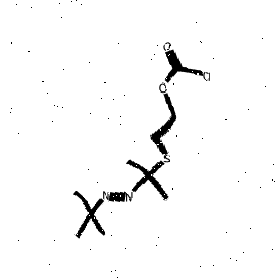 CC(C)(C)/N=N/C(C)(C)SCCOC(=O)Cl